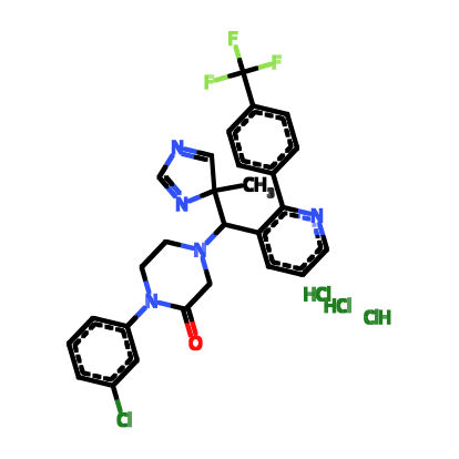 CC1(C(c2cccnc2-c2ccc(C(F)(F)F)cc2)N2CCN(c3cccc(Cl)c3)C(=O)C2)C=NC=N1.Cl.Cl.Cl